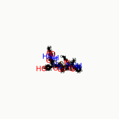 CCCCOCN(C(=O)[C@@H](NC(=O)[C@H]1CCCCN1C)[C@@H](C)CC)[C@H](C[C@@H](OC(C)=O)c1nc(C(=O)N[C@@H](Cc2ccc(O)cc2)C[C@H](C)C(=O)NNC(=O)OCCC)cs1)C(C)C